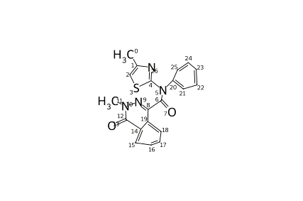 Cc1csc(N(C(=O)c2nn(C)c(=O)c3ccccc23)c2ccccc2)n1